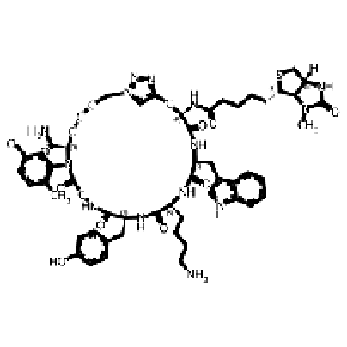 Cc1ccc(Cl)cc1N1C(=O)CNC(=O)[C@H](Cc2ccc(O)cc2)NC(=O)[C@H](CCCCN)NC(=O)[C@H](Cc2c[nH]c3ccccc23)NC(=O)[C@H](NC(=O)CCCC[C@@H]2SC[C@@H]3NC(=O)N(C)C32)Cc2cn(nn2)CCCC[C@@H]1C(N)=O